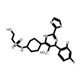 O=C(O)C1=C(C2CCC(NS(=O)(=O)CCO)CC2)NC(c2nccs2)=NC1c1ccc(F)cc1Cl